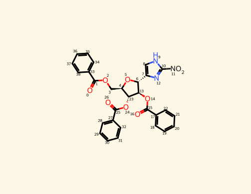 O=C(OC[C@H]1O[C@H](c2c[nH]c([N+](=O)[O-])n2)[C@@H](OC(=O)c2ccccc2)[C@@H]1OC(=O)c1ccccc1)c1ccccc1